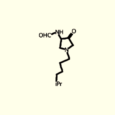 CC(C)CCCCN1CC(=O)C(NC=O)C1